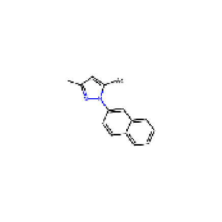 CC(=O)c1cc(C)nn1-c1ccc2ccccc2c1